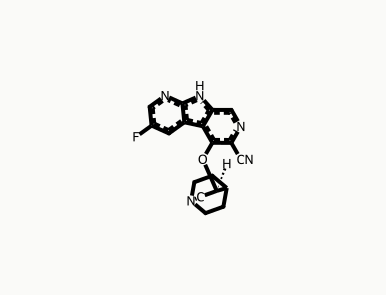 N#Cc1ncc2[nH]c3ncc(F)cc3c2c1O[C@@H]1CN2CCC1CC2